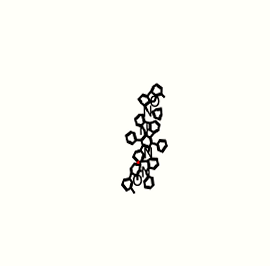 Cc1cccc2c1oc1c(N(c3ccccc3)c3cccc4c3c3cccc5c6c(-c7ccccc7)c7c(c(-c8ccccc8)c6n4c35)c3cccc4c5c(N(c6ccccc6)c6cccc8c6oc6c(C)cccc68)cccc5n7c43)cccc12